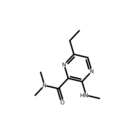 CCc1cnc(NC)c(C(=O)N(C)C)n1